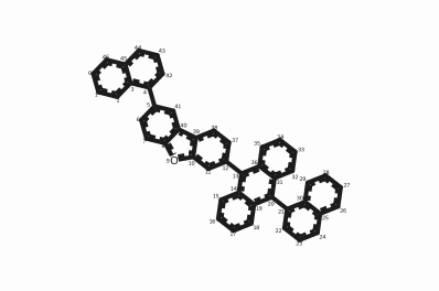 c1ccc2c(-c3ccc4oc5cc(-c6c7ccccc7c(-c7cccc8ccccc78)c7ccccc67)ccc5c4c3)cccc2c1